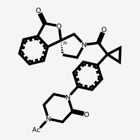 CC(=O)N1CCN(c2ccc(C3(C(=O)N4CC[C@@]5(C4)OC(=O)c4ccccc45)CC3)cc2)C(=O)C1